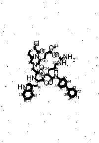 CCCCN(CC(=O)N[C@@H](Cc1c[nH]c2ccccc12)C(=O)N[C@@H](CCCNC(N)=O)C(=O)Nc1ccc(-c2ccccc2)cc1)C(=O)[C@H](CCC(=O)OC)NC(=O)CCl